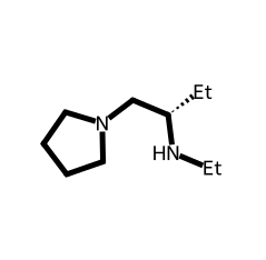 CCN[C@@H](CC)CN1CCCC1